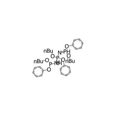 CCCCOP(N[PH](N=[PH](OCCCC)Oc1ccccc1)(OCCCC)Oc1ccccc1)Oc1ccccc1